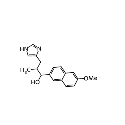 COc1ccc2cc(C(O)C(C)Cc3c[nH]cn3)ccc2c1